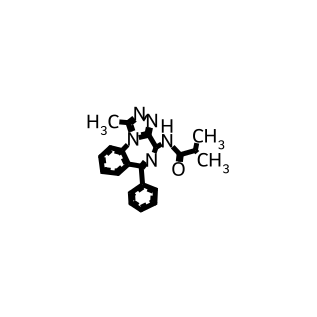 Cc1nnc2n1-c1ccccc1C(c1ccccc1)=NC2NC(=O)C(C)C